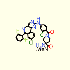 CNC(=O)C1(N)CCN(C(=O)c2ccc(Nc3ncc4c(n3)-c3ccc(Cl)cc3C(c3c(F)cccc3F)=NC4)cc2Cl)CC1